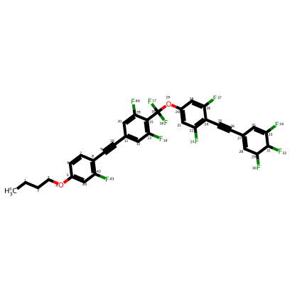 CCCCOc1ccc(C#Cc2cc(F)c(C(F)(F)Oc3cc(F)c(C#CC4=CC(F)C(F)C(F)=C4)c(F)c3)c(F)c2)c(F)c1